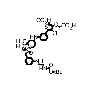 CC(C)(C)OC(=O)NCCNc1cccc(CS(=O)(=O)N2CC[C@H](Nc3cccc(-c4sc(C(=O)O)c(OCC(=O)O)c4Cl)c3)CC2(C)C)c1